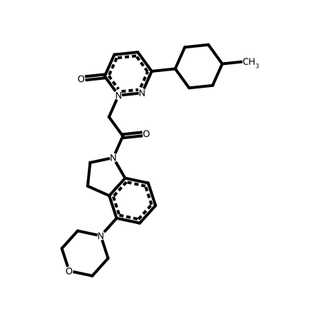 CC1CCC(c2ccc(=O)n(CC(=O)N3CCc4c(N5CCOCC5)cccc43)n2)CC1